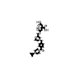 O=C(O)CC(O)(CC(=O)OCC1CN(Cc2ccc(C(=O)N3CCN(C4CC4)CC3)cc2)CCO1)C(=O)O